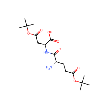 CC(C)(C)OC(=O)CC[C@H](N)C(=O)N[C@@H](CC(=O)OC(C)(C)C)C(=O)O